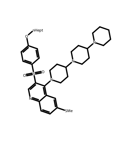 CCCCCCCOc1ccc(S(=O)(=O)c2cnc3ccc(SC)cc3c2N2CCC(N3CCC(N4CCCCC4)CC3)CC2)cc1